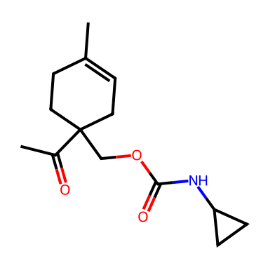 CC(=O)C1(COC(=O)NC2CC2)CC=C(C)CC1